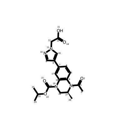 CC(=O)N1c2ccc(-c3cnn(CC(=O)O)c3)cc2N(C(=O)OC(C)C)C[C@@H]1C